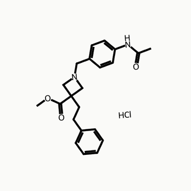 COC(=O)C1(CCc2ccccc2)CN(Cc2ccc(NC(C)=O)cc2)C1.Cl